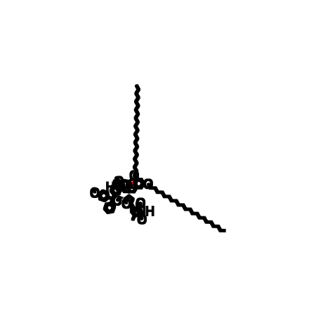 CCCCCCCCCCCCCCCCCCCCCCOc1cc(CC(CC(=O)O)(C(=O)O)[C@@H]2C[C@H](n3cc(C)c(=O)[nH]c3=O)O[C@@H]2COC(c2ccccc2)(c2ccc(OC)cc2)c2ccc(OC)cc2)cc(OCCCCCCCCCCCCCCCCCCCCCC)c1